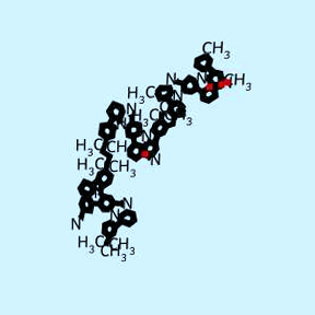 Cc1ccc2c(c1)c1cc(Cc3cc4c5ccccc5n(-c5cc(C#N)c(-n6c7ccccc7c7ccc(C(C)(C)CCC(C)(C)c8ccc9c(c8)c8ccccc8n9-c8cc(C#N)c(-n9c%10ccccc%10c%10cc(C(C)(C)C)ccc%109)cc8-c8cccc(C#N)c8)cc76)cc5-c5cccc(C#N)c5)c4cc3C(C)(C)C)ccc1n2-c1cc(-c2cccc(C#N)c2)c(-n2c3ccc(C)cc3c3cc(C)ccc32)cc1C#N